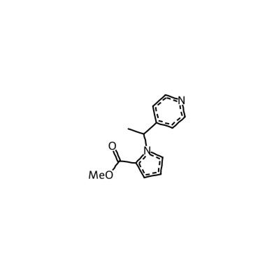 COC(=O)c1cccn1C(C)c1ccncc1